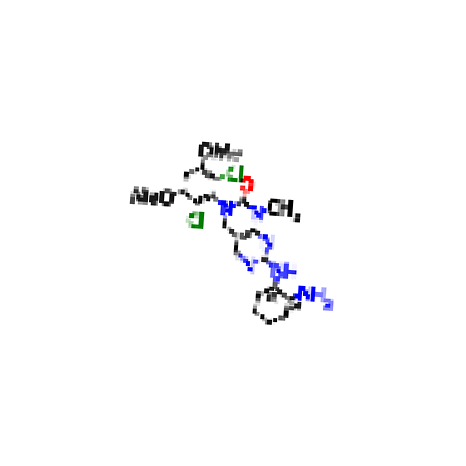 COc1cc(OC)c(Cl)c(N2Cc3cnc(N[C@@H]4CCCC[C@@H]4N)nc3N(C)C2=O)c1Cl